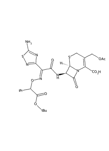 CC(=O)OCC1=C(C(=O)O)N2C(=O)[C@@H](NC(=O)C(=NOC(C(=O)OC(C)(C)C)C(C)C)c3nsc(N)n3)[C@H]2SC1